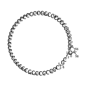 CC1=CCCC(C)(C)CCCCCCCCCCCCCCCCCCCCCCCCCCCCCCCCCCCCCCCCCCCCCCC12CCC(C)O2